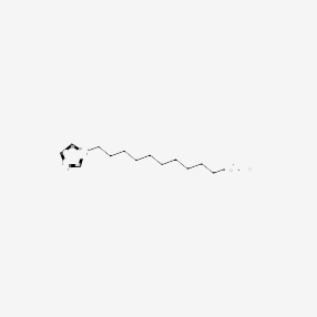 CCCCCCCCCCCCCCCCCCCn1ccnc1